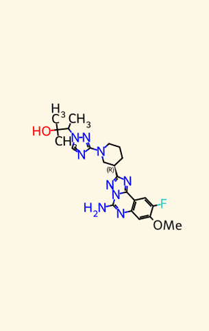 COc1cc2nc(N)n3nc([C@@H]4CCCN(c5ncn(C(C)C(C)(C)O)n5)C4)nc3c2cc1F